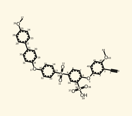 C#Cc1cc(Oc2ccc(S(=O)(=O)c3ccc(Oc4ccc(-c5ccc(OC)cc5)cc4)cc3)cc2S(=O)(=O)O)ccc1OC